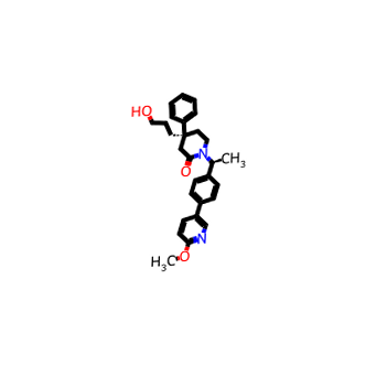 COc1ccc(-c2ccc([C@H](C)N3CC[C@](CCCO)(c4ccccc4)CC3=O)cc2)cn1